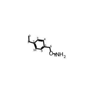 CCc1ccc(CON)cc1